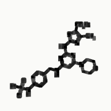 CCOC(=O)c1sc(Nc2nc(NCc3ccc(NS(=O)(=O)CC)cc3)cc(N3CCOCC3)n2)nc1C